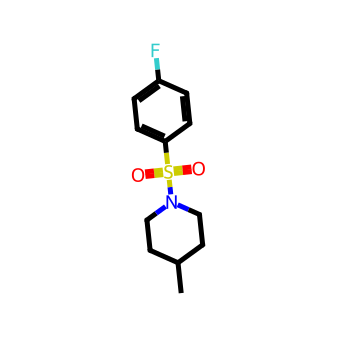 CC1CCN(S(=O)(=O)c2ccc(F)cc2)CC1